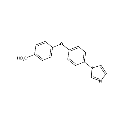 O=C(O)c1ccc(Oc2ccc(-n3ccnc3)cc2)cc1